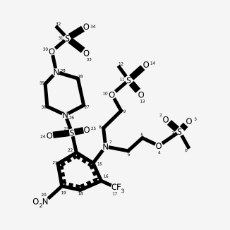 CS(=O)(=O)OCCN(CCOS(C)(=O)=O)c1c(C(F)(F)F)cc([N+](=O)[O-])cc1S(=O)(=O)N1CCN(OS(C)(=O)=O)CC1